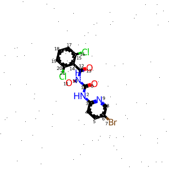 O=C(Nc1ccc(Br)cn1)[NH+]([O-])C(=O)c1c(Cl)cccc1Cl